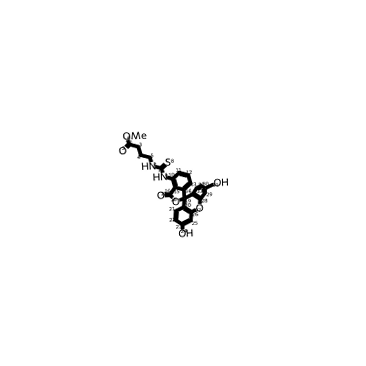 COC(=O)CCCNC(=S)Nc1cccc2c1C(=O)OC21c2ccc(O)cc2Oc2cc(O)ccc21